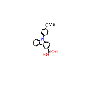 COc1ccc(-n2c3ccccc3c3cc(B(O)O)ccc32)cc1